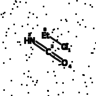 CCCl.N=C=O